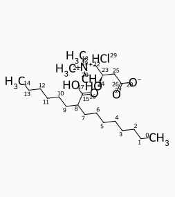 CCCCCCCCC(CCCCCC)C(=O)O.C[N+](C)(C)C[C@H](O)CC(=O)[O-].Cl